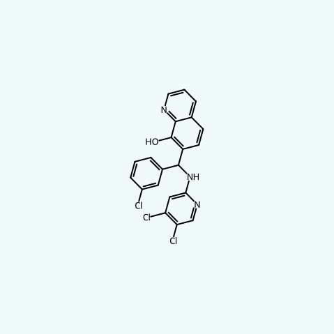 Oc1c(C(Nc2cc(Cl)c(Cl)cn2)c2cccc(Cl)c2)ccc2cccnc12